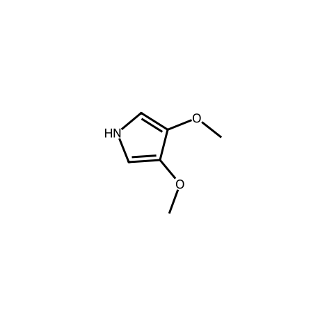 COc1c[nH]cc1OC